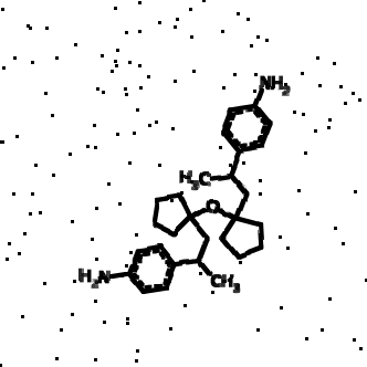 CC(CC1(OC2(CC(C)c3ccc(N)cc3)CCCC2)CCCC1)c1ccc(N)cc1